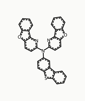 c1ccc2c(c1)oc1ccc(N(c3ccc4sc5ccccc5c4c3)c3ccc4oc5ccccc5c4n3)nc12